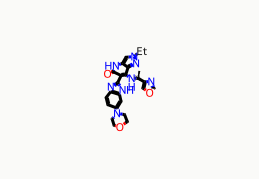 CCn1cc2[nH]c(=O)c(-c3nc4ccc(N5CCOCC5)cc4[nH]3)c(N[C@@H](C)c3cocn3)c2n1